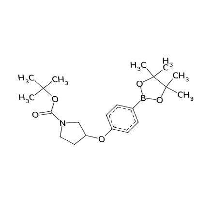 CC(C)(C)OC(=O)N1CCC(Oc2ccc(B3OC(C)(C)C(C)(C)O3)cc2)C1